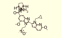 COc1ccc2cc(-c3nc4cc(C(=O)N5C[C@H]6CC[C@@H]5[C@@H]6N)cc(OC)c4n3CC[S@@+](C)[O-])n(CC3CC3)c2n1